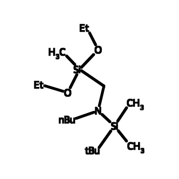 CCCCN(C[Si](C)(OCC)OCC)[Si](C)(C)C(C)(C)C